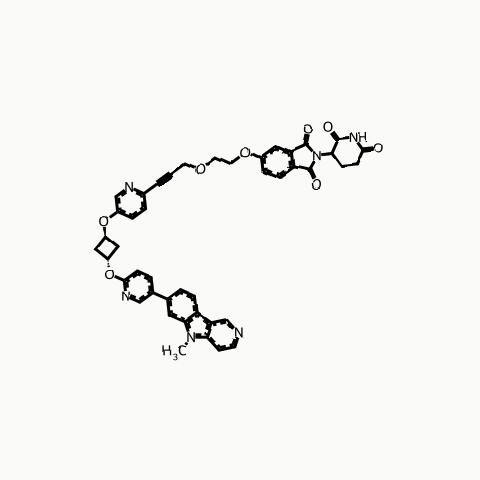 Cn1c2ccncc2c2ccc(-c3ccc(O[C@H]4C[C@H](Oc5ccc(C#CCOCCOc6ccc7c(c6)C(=O)N(C6CCC(=O)NC6=O)C7=O)nc5)C4)nc3)cc21